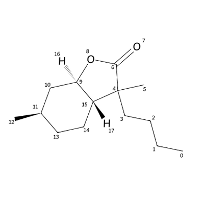 CCCCC1(C)C(=O)O[C@@H]2C[C@H](C)CC[C@H]21